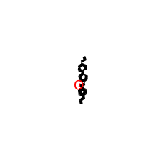 CCCc1ccc(C(=O)C[C@H]2CC[C@H]([C@H]3CC[C@H](CCC)CC3)CC2)cc1